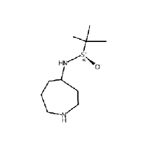 CC(C)(C)[S@@+]([O-])NC1CCCNCC1